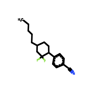 CCCCCC1CCC(c2ccc(C#N)cc2)C(F)(F)C1